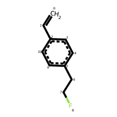 C=Cc1ccc(CCF)cc1